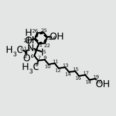 CC(=O)NC(I)(CC(C)CCCCCCCCCCCO)c1cc(O)ccc1O